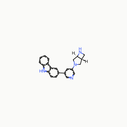 c1ccc2c(c1)[nH]c1ccc(-c3cncc(N4C[C@H]5CN[C@@H]5C4)c3)cc12